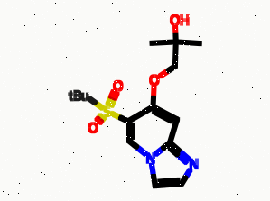 CC(C)(O)COc1cc2nccn2cc1S(=O)(=O)C(C)(C)C